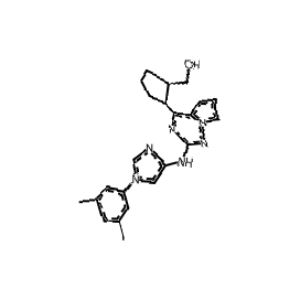 Cc1cc(C)cc(-n2cnc(Nc3nc(C4CCC[C@H]4CO)c4cccn4n3)c2)c1